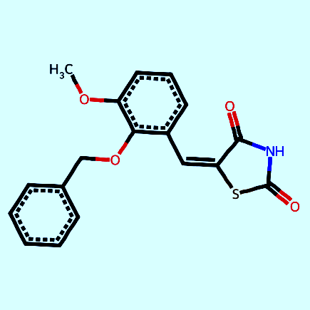 COc1cccc(C=C2SC(=O)NC2=O)c1OCc1ccccc1